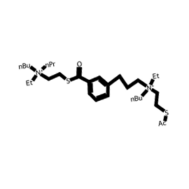 CCCC[N+](CC)(CCCc1cccc(C(=O)SCC[N+](CC)(CCC)CCCC)c1)CCSC(C)=O